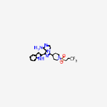 Nc1nccn2c(C3CCN(S(=O)(=O)CCC(F)(F)F)CC3)nc(-c3cc4ccccc4[nH]3)c12